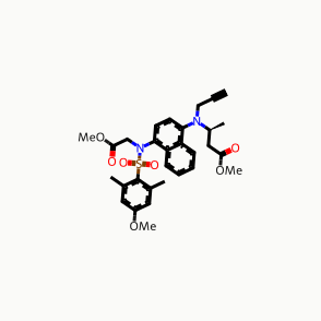 C#CCN(c1ccc(N(CC(=O)OC)S(=O)(=O)c2c(C)cc(OC)cc2C)c2ccccc12)[C@@H](C)CC(=O)OC